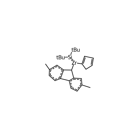 Cc1ccc2c(c1)[CH]([Zr]([C]1=CC=CC1)=[Si](C(C)(C)C)C(C)(C)C)c1cc(C)ccc1-2